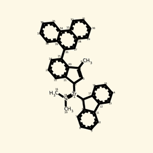 CC1=C[CH]([Zr]([CH]2c3ccccc3-c3ccccc32)=[Si](C)C)c2cccc(-c3cc4ccccc4c4ccccc34)c21